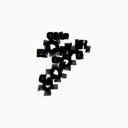 CCc1cc(OC)cc(-n2nc(C(N)=O)c3c2C(=O)N(c2ccc(N4CCCC4=O)cc2)CC3)c1